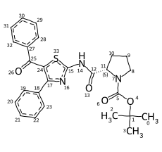 CC(C)(C)OC(=O)N1CCC[C@H]1C(=O)Nc1nc(-c2ccccc2)c(C(=O)c2ccccc2)s1